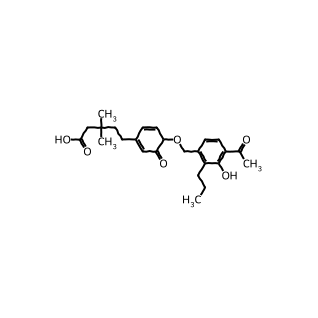 CCCc1c(COC2C=CC(CCC(C)(C)CC(=O)O)=CC2=O)ccc(C(C)=O)c1O